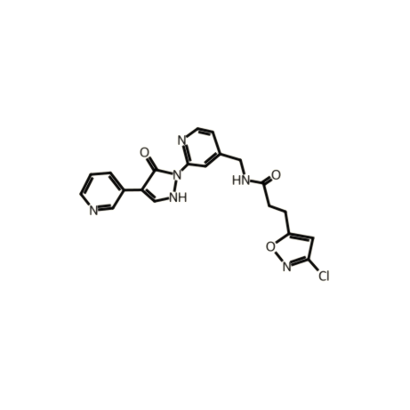 O=C(CCc1cc(Cl)no1)NCc1ccnc(-n2[nH]cc(-c3cccnc3)c2=O)c1